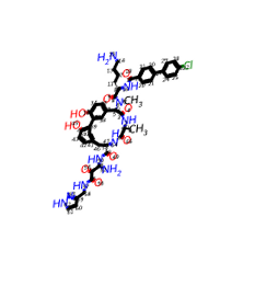 C[C@@H]1NC(=O)[C@@H](N(C)C(=O)[C@H](CCCCN)NC(=O)c2ccc(-c3ccc(Cl)cc3)cc2)c2ccc(O)c(c2)-c2cc(ccc2O)C[C@@H](C(=O)N[C@@H](N)C(=O)C(=O)NCc2cc[nH]n2)NC1=O